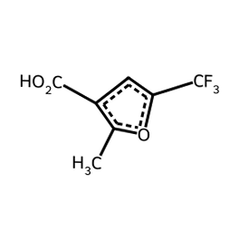 Cc1oc(C(F)(F)F)cc1C(=O)O